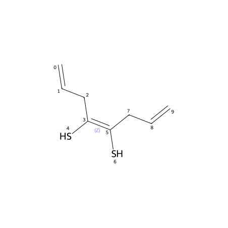 C=CC/C(S)=C(/S)CC=C